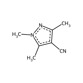 Cc1nn(C)c(C)c1C#N